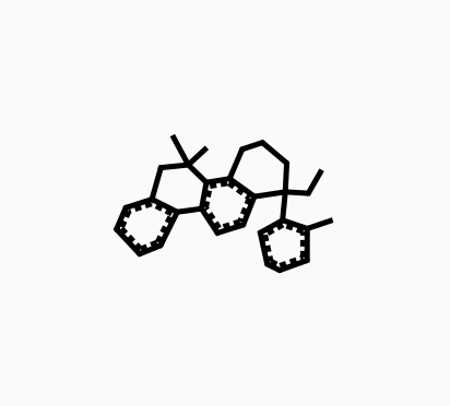 CCC1(c2ccccc2C)CCCc2c1ccc1c2C(C)(C)Cc2ccccc2-1